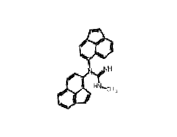 CNC(=N)N(c1ccc2cccc3c2c1C=C3)c1ccc2c3c(cccc13)C=C2